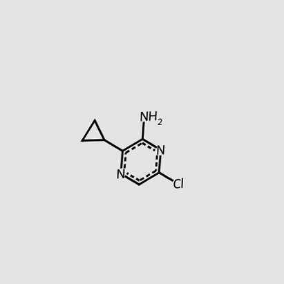 Nc1nc(Cl)cnc1C1CC1